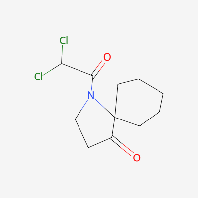 O=C(C(Cl)Cl)N1CCC(=O)C12CCCCC2